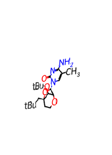 Cc1cn([C@@H]2O[C@@]3(CC(C)(C)C)CCOC2C3OC(C)(C)C)c(=O)nc1N